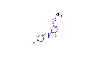 C/C=N/Oc1ncc(F)c(NCc2ccc(Cl)cc2)n1